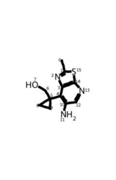 Cc1nc2c(C3(CO)CC3)c(N)cnc2s1